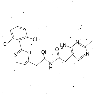 CC=C(CC(O)NC(=O)Cc1cnc(C)nc1N)OC(=S)c1c(Cl)cccc1Cl